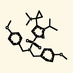 COc1ccc(CN(Cc2ccc(OC)cc2)S(=O)(=O)c2cc(C3(N(C)C)CC3)n(C(C)C)n2)cc1